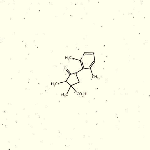 Cc1cccc(C)c1N1CC(C)(C(=O)O)C(C)C1=O